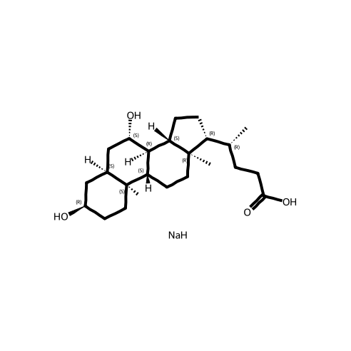 C[C@H](CCC(=O)O)[C@H]1CC[C@H]2[C@@H]3[C@@H](O)C[C@@H]4C[C@H](O)CC[C@]4(C)[C@H]3CC[C@]12C.[NaH]